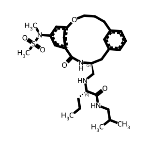 CCC[C@H](NC[C@@H]1Cc2cccc(c2)CCCOc2cc(cc(N(C)S(C)(=O)=O)c2)C(=O)N1)C(=O)NCC(C)C